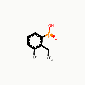 CCc1cccc([PH](=O)O)c1CC(F)(F)F